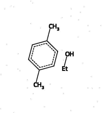 CCO.Cc1ccc(C)cc1